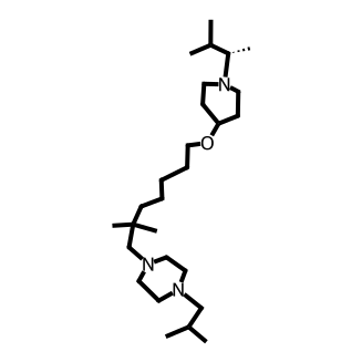 CC(C)CN1CCN(CC(C)(C)CCCCCOC2CCN([C@@H](C)C(C)C)CC2)CC1